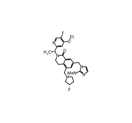 CCOc1cc([C@H](C)N2CCc3c(CN4CC[C@H](F)C4)cc(Cn4ccnc4NC)cc3C2=O)ncc1F